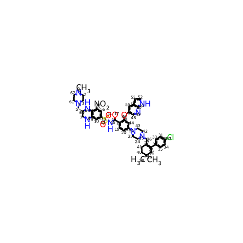 CN1CCN(C[C@H]2CNc3cc(S(=O)(=O)NC(=O)c4ccc(N5CCN(CC6=C(c7ccc(Cl)cc7)CC(C)(C)CC6)CC5)cc4Oc4cnc5[nH]ccc5c4)cc([N+](=O)[O-])c3N2)CC1